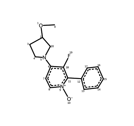 COC1CCN(c2cc[n+]([O-])c(-c3ccccc3)c2F)C1